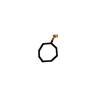 SC1CCC[CH]CCC1